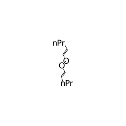 CCCC=COOC=CCCC